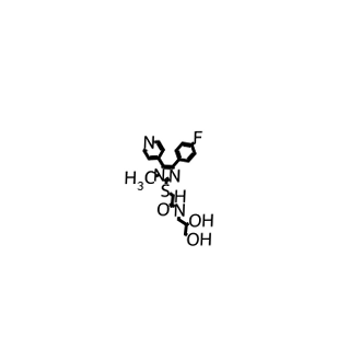 Cn1c(SCC(=O)NCC(O)CO)nc(-c2ccc(F)cc2)c1-c1ccncc1